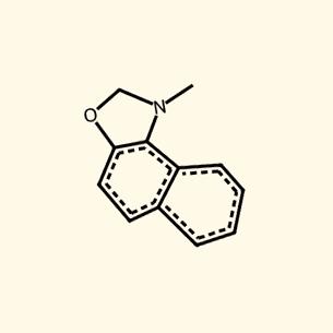 CN1COc2ccc3ccccc3c21